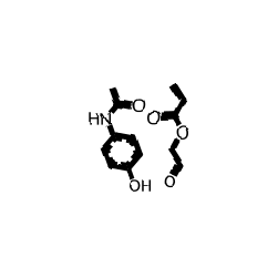 C=CC(=O)OCC=O.CC(=O)Nc1ccc(O)cc1